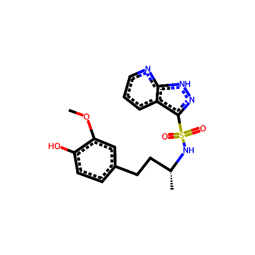 COc1cc(CC[C@@H](C)NS(=O)(=O)c2n[nH]c3ncccc23)ccc1O